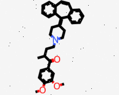 COc1ccc(C(=O)C(C)CCN2CCC(=C3c4ccccc4C=Cc4ccccc43)CC2)cc1OC